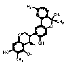 Cc1ccc2c(c1)-c1cc(C3COc4cc(O)c(C)c(O)c4C3=O)c(O)cc1OC2(C)C